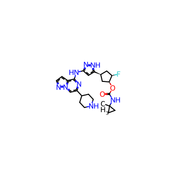 CC1(NC(=O)O[C@H]2C[C@@H](c3cc(Nc4nc(C5CCNCC5)cn5nccc45)n[nH]3)C[C@H]2F)CC1